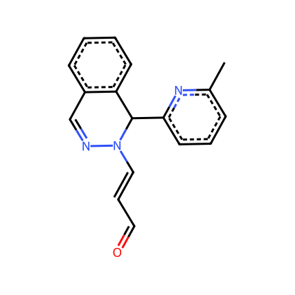 Cc1cccc(C2c3ccccc3C=NN2C=CC=O)n1